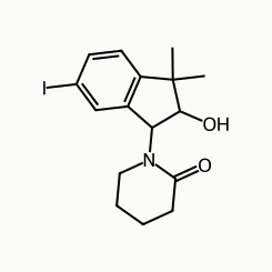 CC1(C)c2ccc(I)cc2C(N2CCCCC2=O)C1O